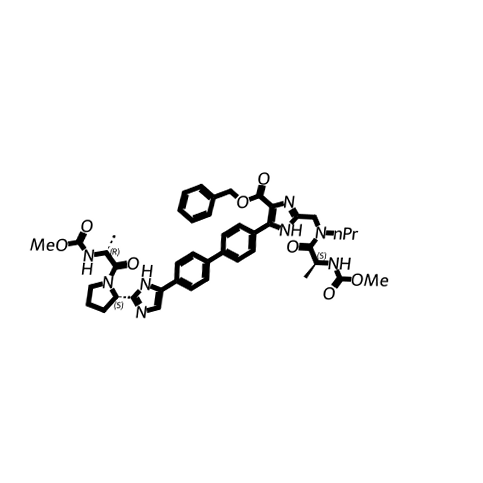 CCCN(Cc1nc(C(=O)OCc2ccccc2)c(-c2ccc(-c3ccc(-c4cnc([C@@H]5CCCN5C(=O)[C@@H](C)NC(=O)OC)[nH]4)cc3)cc2)[nH]1)C(=O)[C@H](C)NC(=O)OC